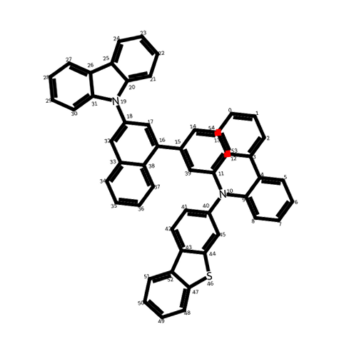 c1ccc(-c2ccccc2N(c2cccc(-c3cc(-n4c5ccccc5c5ccccc54)cc4ccccc34)c2)c2ccc3c(c2)sc2ccccc23)cc1